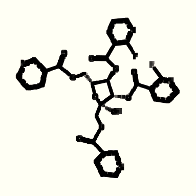 O=C(OC[C@H]1O[C@](O)(COC(=O)c2cccnc2)[C@@H](OC(=O)c2cccnc2F)[C@@H]1OC(=O)c1cccnc1F)c1cccnc1